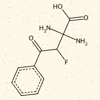 NC(N)(C(=O)O)C(F)C(=O)c1ccccc1